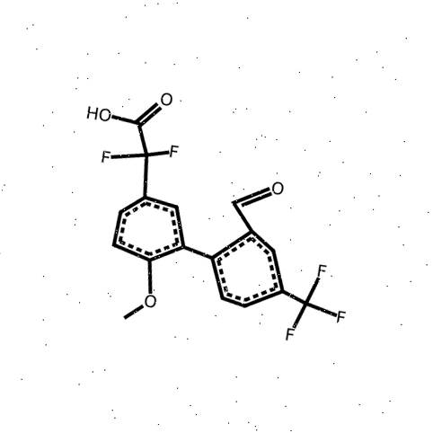 COc1ccc(C(F)(F)C(=O)O)cc1-c1ccc(C(F)(F)F)cc1C=O